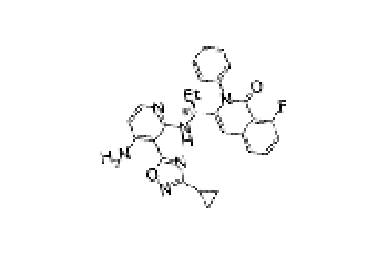 CC[C@H](Nc1nccc(N)c1-c1nc(C2CC2)no1)c1cc2cccc(F)c2c(=O)n1-c1ccccc1